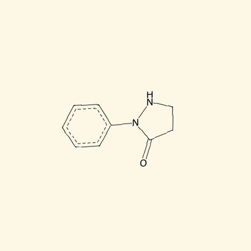 O=C1CCNN1c1ccccc1